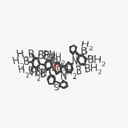 Bc1c(B)c(B)c(-c2c(B)c(B)c(B)c(-c3ccc4sc5cccc(-n6c7ccccc7c7cc(-n8c9ccccc9c9c(B)c(B)c(B)c(B)c98)ccc76)c5c4c3)c2B)c(B)c1B